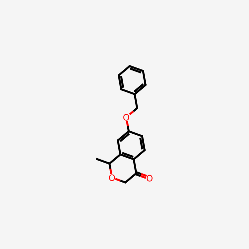 CC1OCC(=O)c2ccc(OCc3ccccc3)cc21